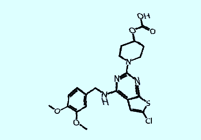 COc1ccc(CNc2nc(N3CCC(OC(=O)O)CC3)nc3sc(Cl)cc23)cc1OC